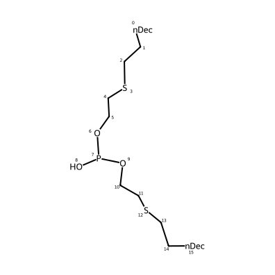 CCCCCCCCCCCCSCCOP(O)OCCSCCCCCCCCCCCC